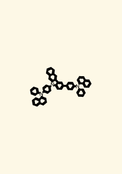 c1ccc(N(c2ccc(-c3ccc4c(c3)c3cc5ccccc5cc3n4-c3ccc(N(c4ccccc4)c4cccc5ccccc45)cc3)cc2)c2cccc3ccccc23)cc1